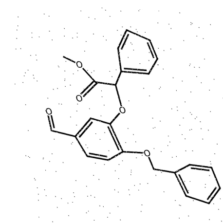 COC(=O)C(Oc1cc(C=O)ccc1OCc1ccccc1)c1ccccc1